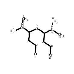 C[SiH](C)C(CCCl)SC(CCCl)[SiH](C)C